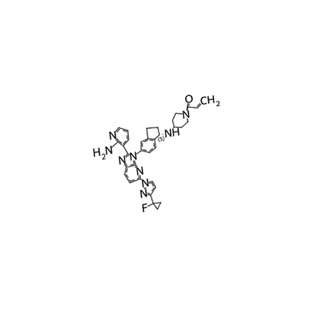 C=CC(=O)N1CCC(N[C@H]2CCc3cc(-n4c(-c5cccnc5N)nc5ccc(-n6ccc(C7(F)CC7)n6)nc54)ccc32)CC1